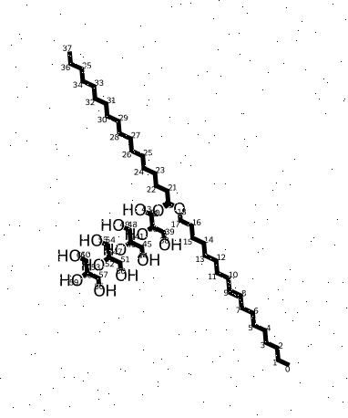 CCCCCCCCC=CCCCCCCCCOC(=O)CCCCCCCCCCCCCCCCC.OCC(O)CO.OCC(O)CO.OCC(O)CO.OCC(O)CO